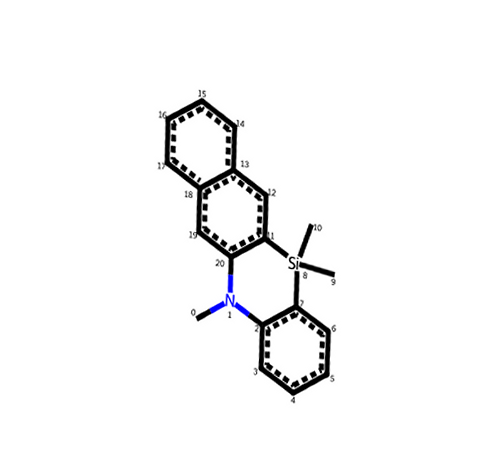 CN1c2ccccc2[Si](C)(C)c2cc3ccccc3cc21